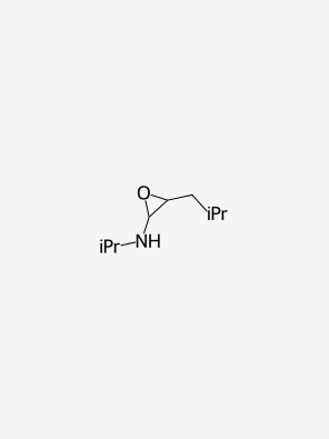 CC(C)CC1OC1NC(C)C